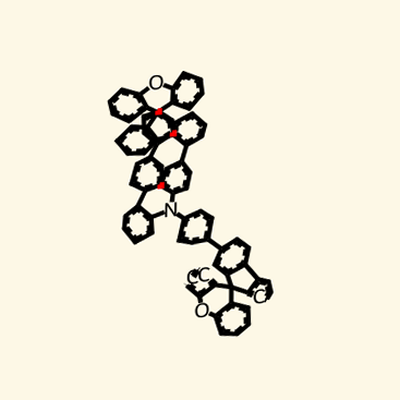 c1ccc(-c2ccc(-c3ccccc3N(c3ccc(-c4ccc5c(c4)C4(c6ccccc6Oc6ccccc64)c4ccccc4-5)cc3)c3ccc(-c4cccc5c4-c4ccccc4C54c5ccccc5Oc5ccccc54)cc3)cc2)cc1